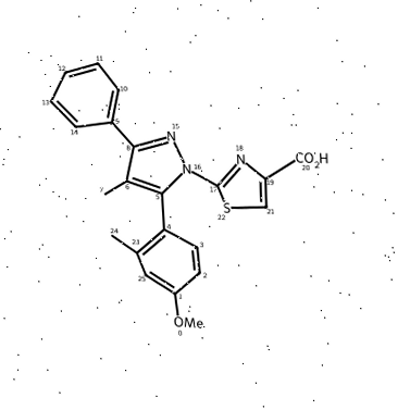 COc1ccc(-c2c(C)c(-c3ccccc3)nn2-c2nc(C(=O)O)cs2)c(C)c1